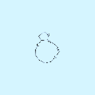 C1=CCCCCCCCC2CCOC2=C1